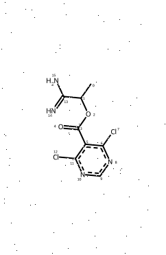 CC(OC(=O)c1c(Cl)ncnc1Cl)C(=N)N